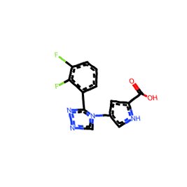 O=C(O)c1cc(-n2cnnc2-c2cccc(F)c2F)c[nH]1